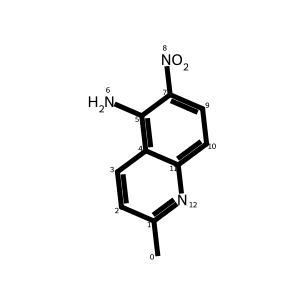 Cc1ccc2c(N)c([N+](=O)[O-])ccc2n1